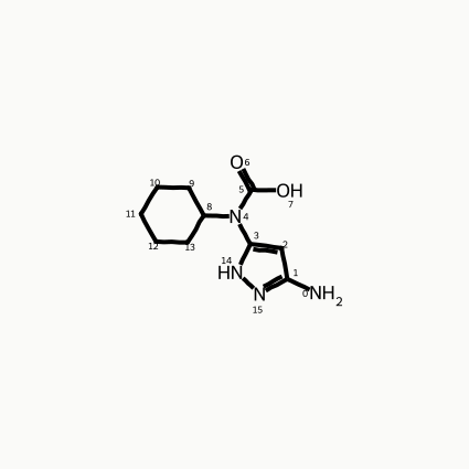 Nc1cc(N(C(=O)O)C2CCCCC2)[nH]n1